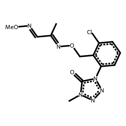 CON=C/C(C)=N/OCc1c(Cl)cccc1-n1nnn(C)c1=O